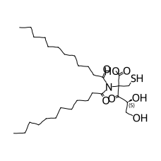 CCCCCCCCCCCC(=O)N(C(=O)CCCCCCCCCCC)C(CS)(C(=O)O)C(=O)[C@@H](O)CO